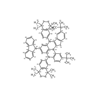 CC(C)(C)c1ccc2c(c1)B1c3sc4ccc(C(C)(C)C)cc4c3N(c3ccc4c(c3)C(C)(C)CCC4(C)C)c3cc(-n4c5ccccc5c5ccccc54)cc(c31)N2c1ccc2c(c1)C(C)(C)CCC2(C)C